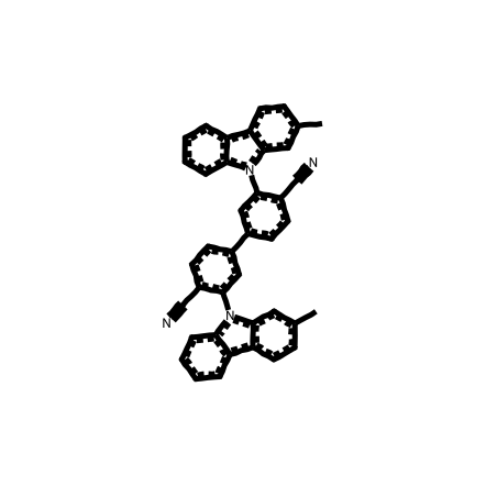 Cc1ccc2c3ccccc3n(-c3cc(-c4ccc(C#N)c(-n5c6ccccc6c6ccc(C)cc65)c4)ccc3C#N)c2c1